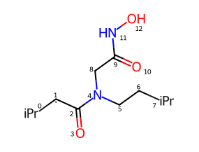 CC(C)[CH]C(=O)N(CCC(C)C)CC(=O)NO